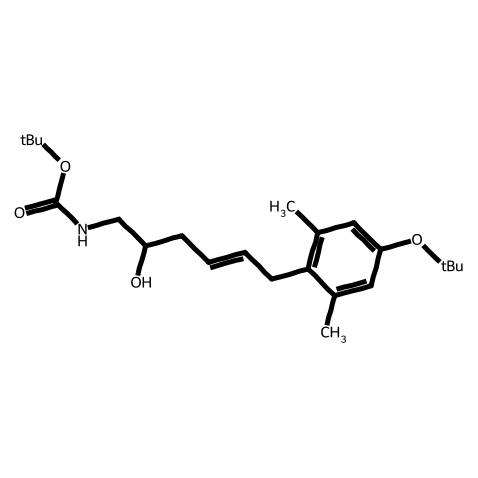 Cc1cc(OC(C)(C)C)cc(C)c1CC=CCC(O)CNC(=O)OC(C)(C)C